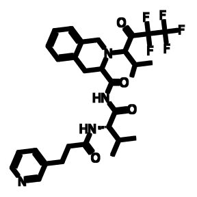 CC(C)C(C(=O)C(F)(F)C(F)(F)F)N1Cc2ccccc2CC1C(=O)NC(=O)[C@@H](NC(=O)CCc1cccnc1)C(C)C